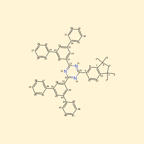 CC1(C)CC(C)(C)c2cc(-c3nc(-c4cc(-c5ccccc5)cc(-c5ccccc5)c4)nc(-c4cc(-c5ccccc5)cc(-c5ccccc5)c4)n3)ccc21